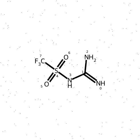 N=C(N)NS(=O)(=O)C(F)(F)F